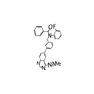 CNc1ncnc2ccc(-c3cccc(CN(C(=O)c4ccccc4)c4ccccc4F)c3)cc12